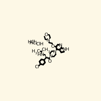 CC(C)NC[C@@H](C(=O)N1CCN(c2c(OCCN3CCOCC3)cnc3[nH]ccc23)CC1)c1ccc(Cl)cc1.Cl.Cl.Cl